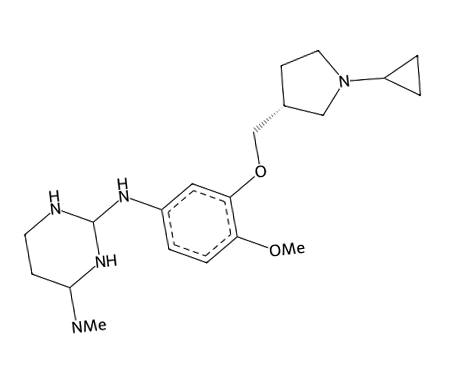 CNC1CCNC(Nc2ccc(OC)c(OC[C@@H]3CCN(C4CC4)C3)c2)N1